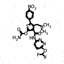 CN(C)Cc1c(-c2ccc([N+](=O)[O-])cc2)sc(OC(N)=O)c1C(=O)Nc1ccc(OC(F)F)nn1